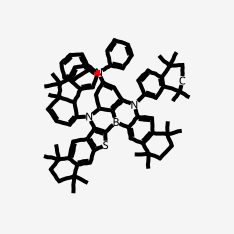 CC1(C)CCC(C)(C)c2cc(N3C4=C5B(c6cc7c(cc63)C(C)(C)CCC7(C)C)c3sc6cc7c(cc6c3N(C3=CC=CC6(C)C3c3ccccc3C6(C)C)C5CC(N(c3ccccc3)c3ccccc3)=C4)C(C)(C)CCC7(C)C)ccc21